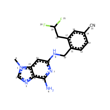 Cn1cnc2c(N)nc(NCc3ccc(C#N)cc3CC(F)F)cc21